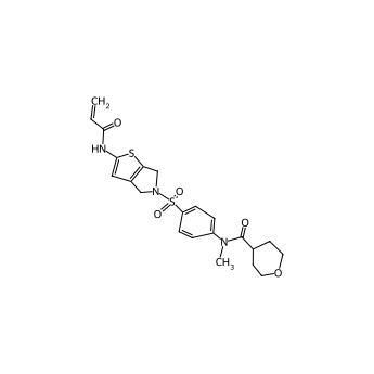 C=CC(=O)Nc1cc2c(s1)CN(S(=O)(=O)c1ccc(N(C)C(=O)C3CCOCC3)cc1)C2